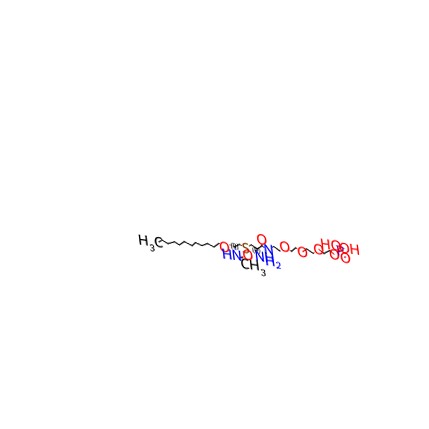 CCCCCCCCCCCCOC[C@H](CSC[C@H](N)C(=O)NCCOCCOCCOCCOP(=O)(O)O)NC(C)=O